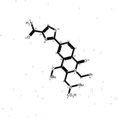 CCCCOc1c(CN(C(=O)O)C(C)(C)C)n(CC(C)C)c(=O)c2ccc(-c3nc(C(N)=O)cs3)cc12